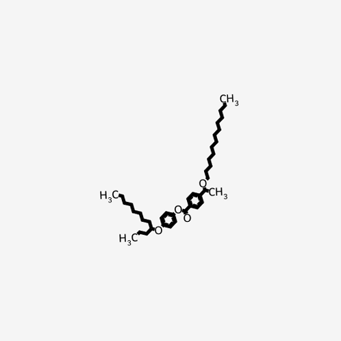 CCCCCCCCCCCCCCOC(C)c1ccc(C(=O)Oc2ccc(OC(CCC)CCCCCCCC)cc2)cc1